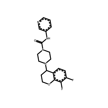 O=C(Nc1cccnc1)N1CCN(C2CCOc3c2ccc(F)c3F)CC1